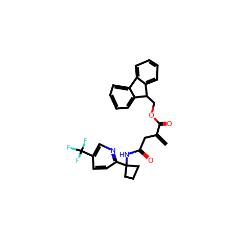 C=C(CC(=O)NC1(c2ccc(C(F)(F)F)cn2)CCC1)C(=O)OCC1c2ccccc2-c2ccccc21